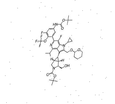 CC(C)c1nc(-c2cc(NC(=O)OC(C)(C)C)cc(F)c2OC(F)(F)F)c(F)c2c1c([C@@H]1[C@H]3CN(C(=O)OC(C)(C)C)[C@H](CO)[C@H]31)c(COC1CCCCO1)n2C1CC1